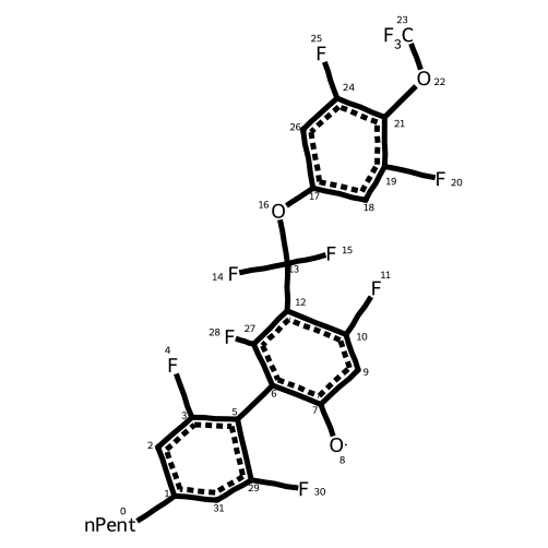 CCCCCc1cc(F)c(-c2c([O])cc(F)c(C(F)(F)Oc3cc(F)c(OC(F)(F)F)c(F)c3)c2F)c(F)c1